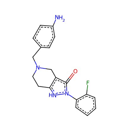 Nc1ccc(CN2CCc3[nH]n(-c4ccccc4F)c(=O)c3C2)cc1